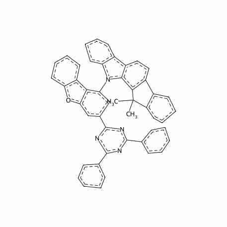 CC1(C)c2ccccc2-c2ccc3c4ccccc4n(-c4cc(-c5nc(-c6ccccc6)nc(-c6ccccc6)n5)cc5oc6ccccc6c45)c3c21